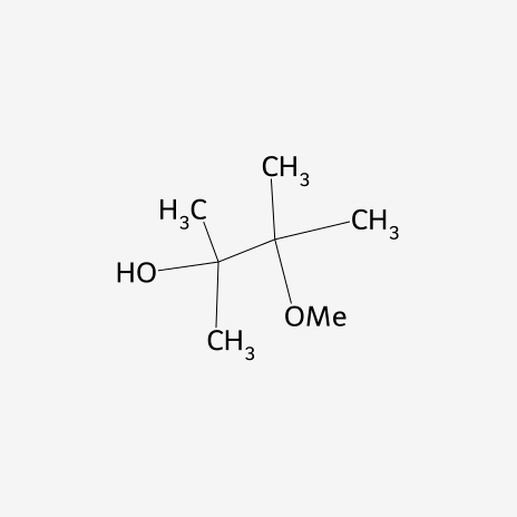 COC(C)(C)C(C)(C)O